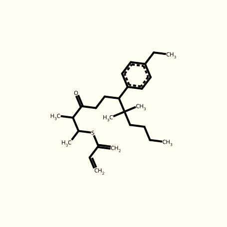 C=CC(=C)SC(C)C(C)C(=O)CCC(c1ccc(CC)cc1)C(C)(C)CCCC